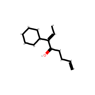 C=CCCC(=O)/C(=C/C)C1CCCCC1